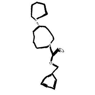 O=C(OCc1ccccc1)N1CCC[C@H](N2CCCC2)CC1